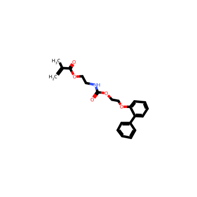 C=C(C)C(=O)OCCNC(=O)OCCOc1ccccc1-c1ccccc1